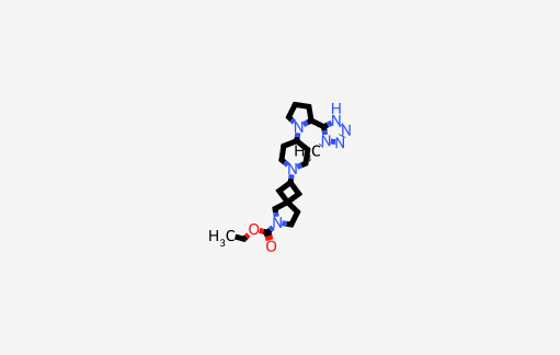 CCOC(=O)N1CCC2(CC(N3CCC(N4CCCC4C4NN=NN4C)CC3)C2)C1